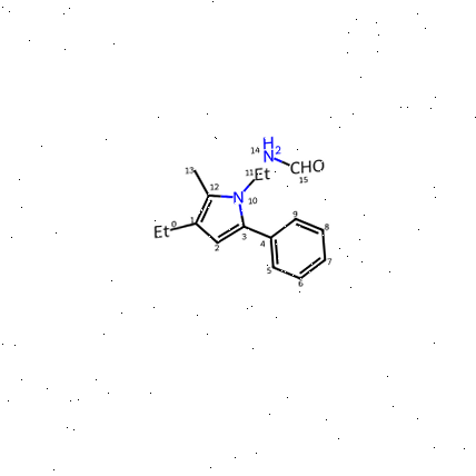 CCc1cc(-c2ccccc2)n(CC)c1C.NC=O